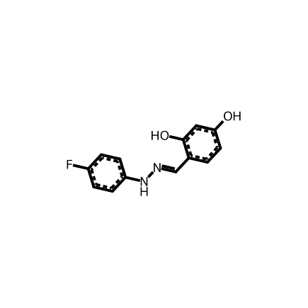 Oc1ccc(C=NNc2ccc(F)cc2)c(O)c1